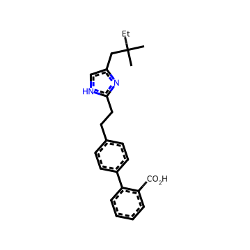 CCC(C)(C)Cc1c[nH]c(CCc2ccc(-c3ccccc3C(=O)O)cc2)n1